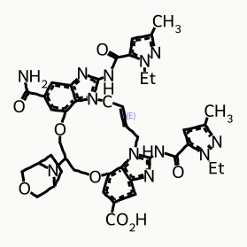 CCn1nc(C)cc1C(=O)Nc1nc2cc(C(N)=O)cc3c2n1C/C=C/Cn1c(NC(=O)c2cc(C)nn2CC)nc2cc(C(=O)O)cc(c21)OCC(N1C2CCC1COC2)CO3